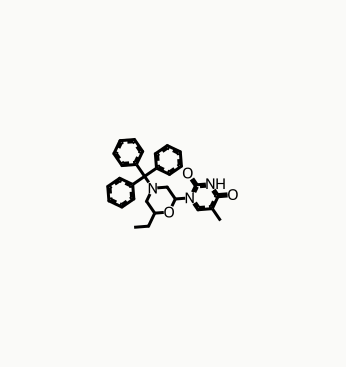 CCC1CN(C(c2ccccc2)(c2ccccc2)c2ccccc2)CC(n2cc(C)c(=O)[nH]c2=O)O1